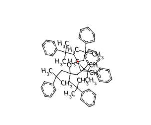 CC(C)(CC(CC(C)(C)c1ccccc1)(CC(C)(C)c1ccccc1)OC(CC(C)(C)c1ccccc1)(CC(C)(C)c1ccccc1)CC(C)(C)c1ccccc1)c1ccccc1